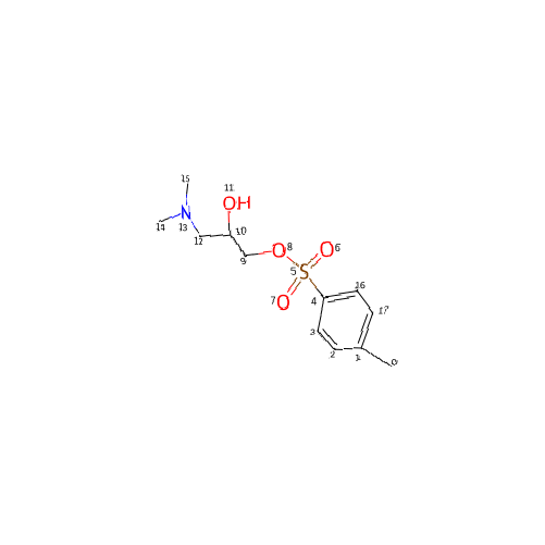 Cc1ccc(S(=O)(=O)OCC(O)CN(C)C)cc1